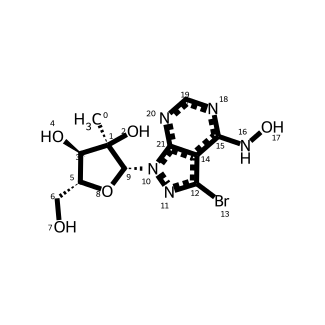 C[C@@]1(O)[C@H](O)[C@@H](CO)O[C@H]1n1nc(Br)c2c(NO)ncnc21